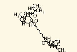 CCC(=O)N[C@H](C=O)CN(CC)C(=O)NCCCCCCNC(=O)N1CC[C@H]2CCC(C)N2C(=O)C(NC(=O)C(C)NC)C1